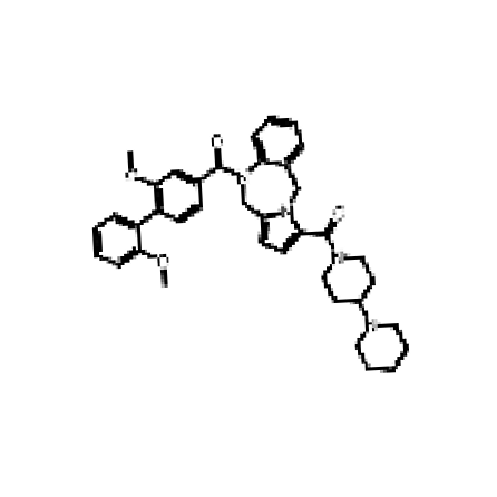 COc1ccccc1-c1ccc(C(=O)N2Cc3ccc(C(=O)N4CCC(N5CCCCC5)CC4)n3Cc3ccccc32)cc1OC